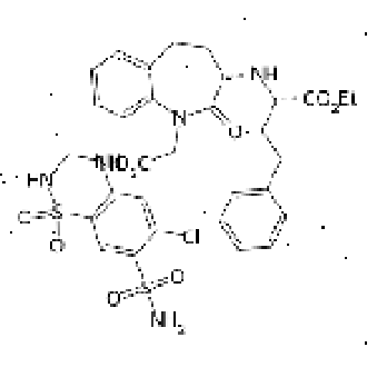 CCOC(=O)[C@H](CCc1ccccc1)N[C@H]1CCc2ccccc2N(CC(=O)O)C1=O.NS(=O)(=O)c1cc2c(cc1Cl)NCNS2(=O)=O